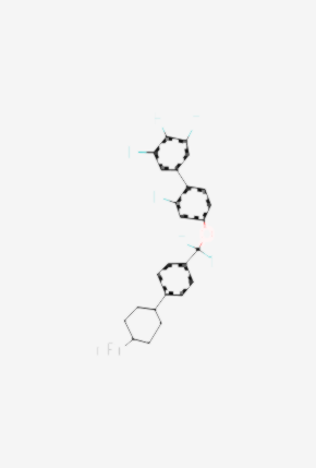 CCCC1CCC(c2ccc(C(F)(F)Oc3ccc(-c4cc(F)c(F)c(F)c4)c(F)c3)cc2)CC1